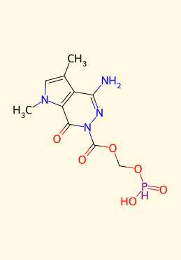 Cc1cn(C)c2c(=O)n(C(=O)OCO[PH](=O)O)nc(N)c12